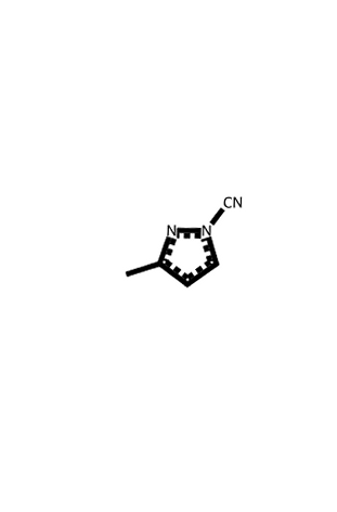 Cc1ccn(C#N)n1